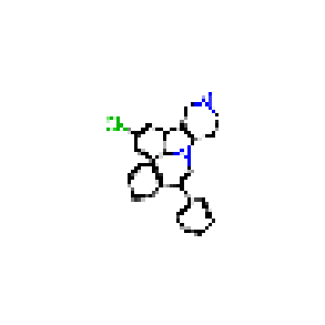 CN1CCc2c(c3cc(Cl)ccc3n2C=C(c2ccccc2)c2ccccc2)C1